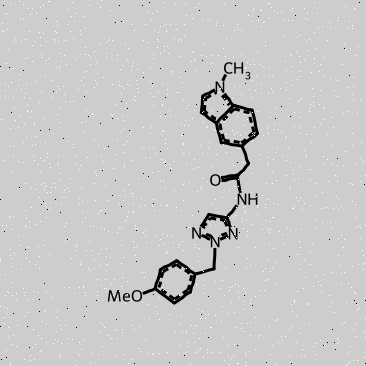 COc1ccc(Cn2ncc(NC(=O)Cc3ccc4c(ccn4C)c3)n2)cc1